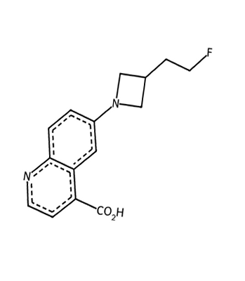 O=C(O)c1ccnc2ccc(N3CC(CCF)C3)cc12